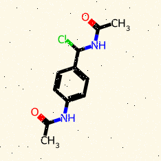 CC(=O)Nc1ccc(C(Cl)NC(C)=O)cc1